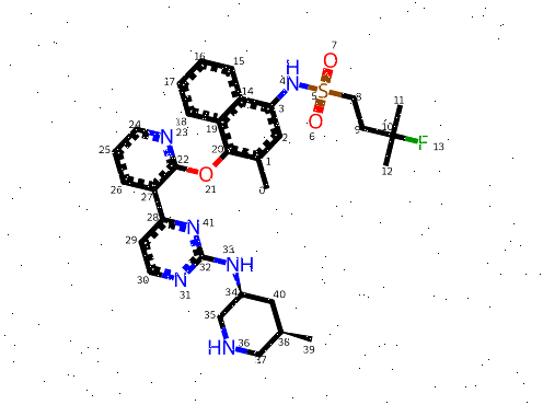 Cc1cc(NS(=O)(=O)CCC(C)(C)F)c2ccccc2c1Oc1ncccc1-c1ccnc(N[C@@H]2CNC[C@H](C)C2)n1